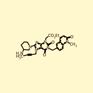 CC#CCn1c(N2CCCC(N)C2)nc2c1c(=O)n(Cc1ccc3c(ccc(=O)n3C)c1)c(=O)n2CC(=O)OCC